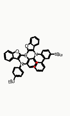 CC(C)(C)c1ccc(N2c3cccc4c3B(c3oc5ccccc5c32)c2oc3ccccc3c2N4c2ccc(C(C)(C)C)cc2-c2ccccc2)cc1